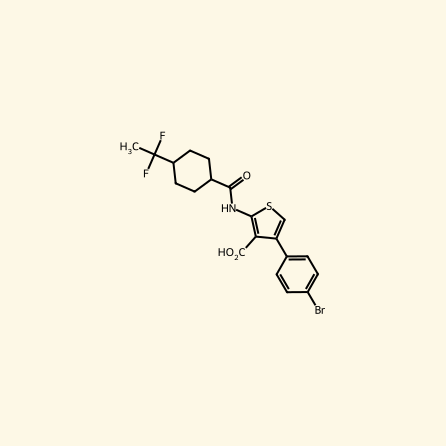 CC(F)(F)C1CCC(C(=O)Nc2scc(-c3ccc(Br)cc3)c2C(=O)O)CC1